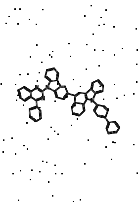 c1ccc(-c2ccc(-n3c4ccccc4c4cc(-c5ccc6c(c5)c5ccccc5n6-c5nc(-c6ccccc6)c6ccccc6n5)c5ccccc5c43)cc2)cc1